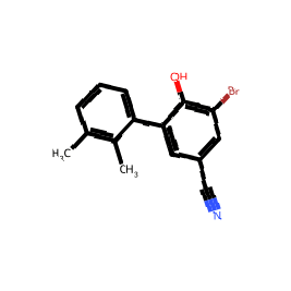 Cc1cccc(-c2cc(C#N)cc(Br)c2O)c1C